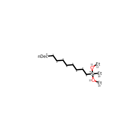 CCCCCCCCCCCCCCCCCC[Si](CC)(OCC)OCC